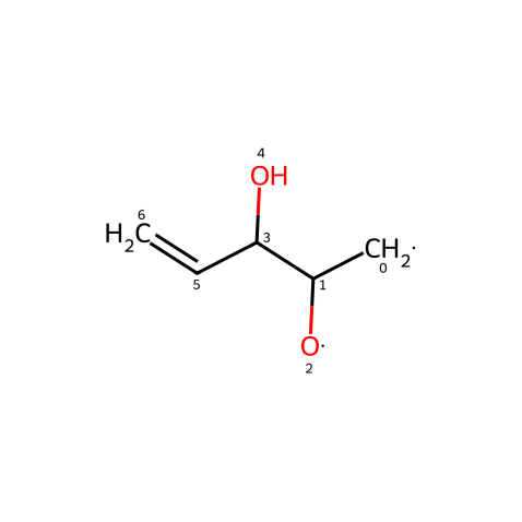 [CH2]C([O])C(O)C=C